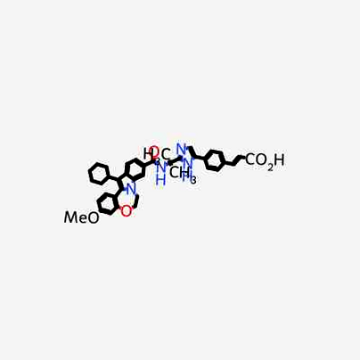 COc1ccc2c(c1)OCCn1c-2c(C2CCCCC2)c2ccc(C(=O)NC(C)(C)c3ncc(-c4ccc(/C=C/C(=O)O)cc4)[nH]3)cc21